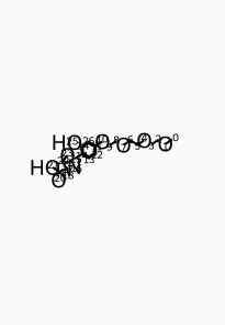 COCCOCCOCCOc1ccc(C2=NC(C)(C(=O)O)CO2)c(O)c1